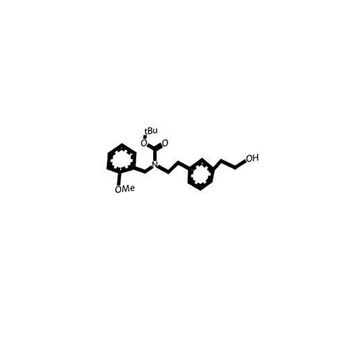 COc1ccccc1CN(CCc1cccc(CCO)c1)C(=O)OC(C)(C)C